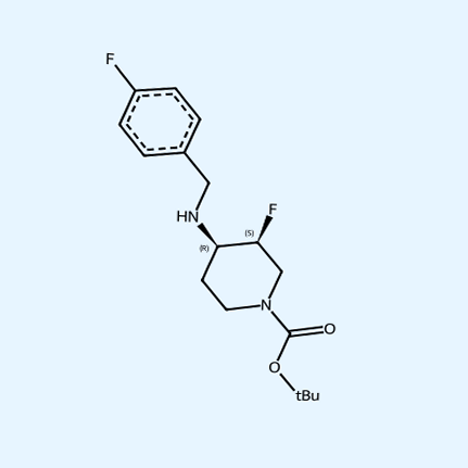 CC(C)(C)OC(=O)N1CC[C@@H](NCc2ccc(F)cc2)[C@@H](F)C1